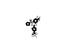 COC(=O)c1ccc(COc2cc(C(F)(F)F)ccc2N[S+]([O-])C2CCCC2)cc1